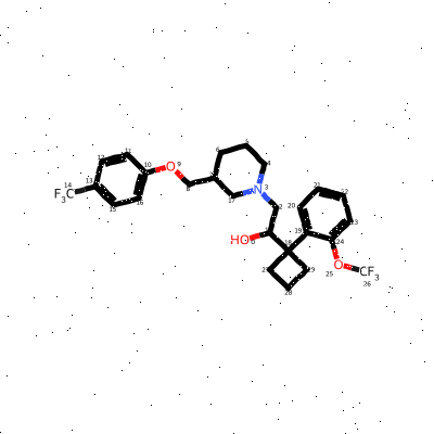 OC(CN1CCCC(COc2ccc(C(F)(F)F)cc2)C1)C1(c2ccccc2OC(F)(F)F)CCC1